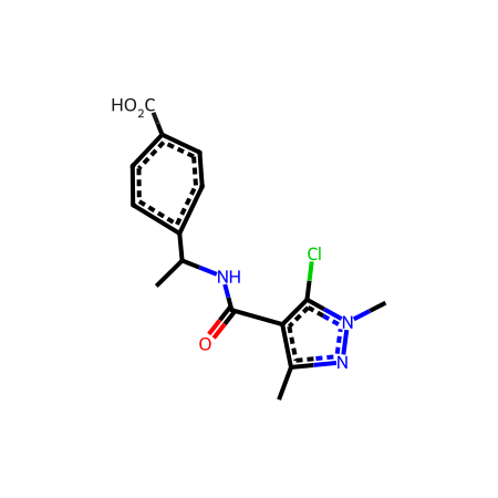 Cc1nn(C)c(Cl)c1C(=O)NC(C)c1ccc(C(=O)O)cc1